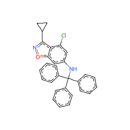 Clc1cc(NC(c2ccccc2)(c2ccccc2)c2ccccc2)cc2onc(C3CC3)c12